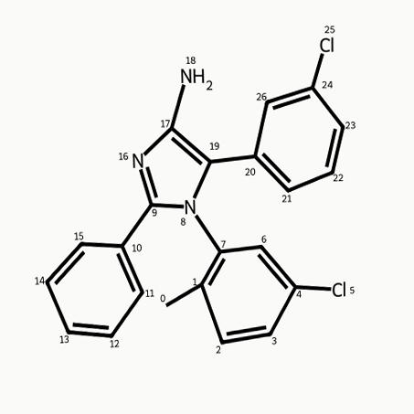 Cc1ccc(Cl)cc1-n1c(-c2ccccc2)nc(N)c1-c1cccc(Cl)c1